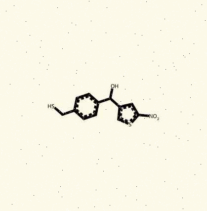 O=[N+]([O-])c1cc(C(O)c2ccc(CS)cc2)cs1